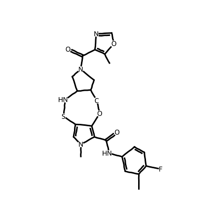 Cc1cc(NC(=O)c2c3c(cn2C)SNC2CN(C(=O)c4ncoc4C)CC2CO3)ccc1F